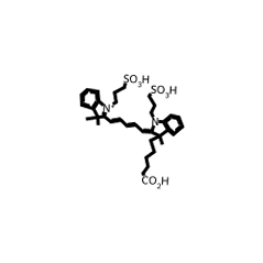 CC1(C)C(/C=C/C=C/C=C2\N(CCCS(=O)(=O)O)c3ccccc3C2(C)CCCCCC(=O)O)=[N+](CCCS(=O)(=O)O)c2ccccc21